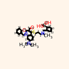 CN(CCCSc1c(C=O)c(=O)n(Cc2ccccc2)c2cc(N(C)C)ccc12)Cc1ccccc1B(O)O